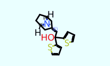 CN1[C@@H]2CC[C@H]1C/C(=C\C(O)(c1cccs1)c1cccs1)C2